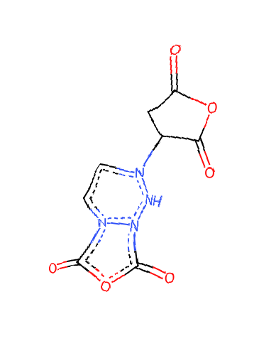 O=C1CC(n2ccn3c(=O)oc(=O)n3[nH]2)C(=O)O1